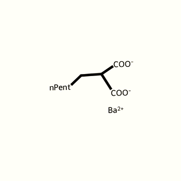 CCCCCCC(C(=O)[O-])C(=O)[O-].[Ba+2]